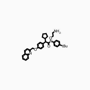 CC(C)(C)c1ccc(N(OCCN)C(=O)C(c2ccc(OCc3ccc4ccccc4n3)cc2)C2CCCC2)cc1